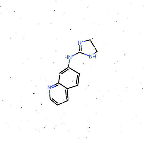 c1cnc2cc(NC3=NCCN3)ccc2c1